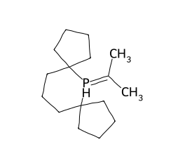 CC(C)=[PH]1C2(CCCC2)CCCC12CCCC2